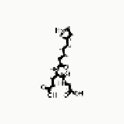 O=C(O)CCC(NC(=O)CCCCC1CCNS1)C(=O)NCC(=O)O